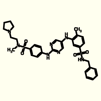 Cc1ccc(S(=O)(=O)NCc2ccccc2)cc1Nc1cnc(Nc2ccc(S(=O)(=O)N(C)CCN3CCCC3)cc2)nc1